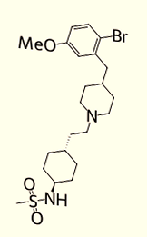 COc1ccc(Br)c(CC2CCN(CC[C@H]3CC[C@H](NS(C)(=O)=O)CC3)CC2)c1